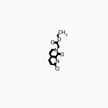 CCOC(=O)Cn1ccc2ccc(Cl)nc2c1=O